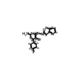 Nc1nc(NNC(=O)Cc2ncccc2F)c(Br)c(-c2ccc(F)cc2)n1